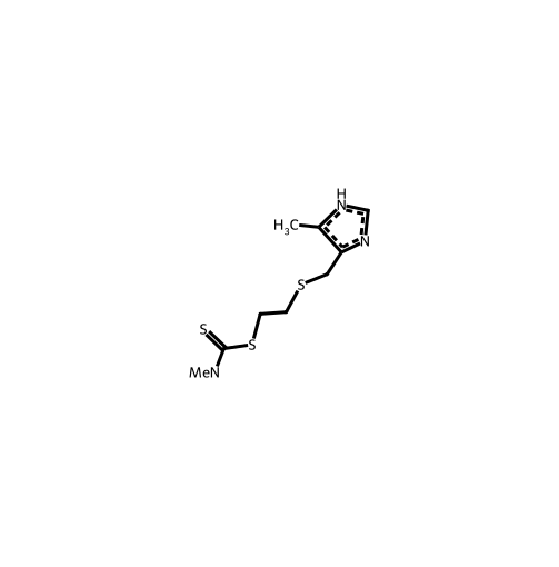 CNC(=S)SCCSCc1nc[nH]c1C